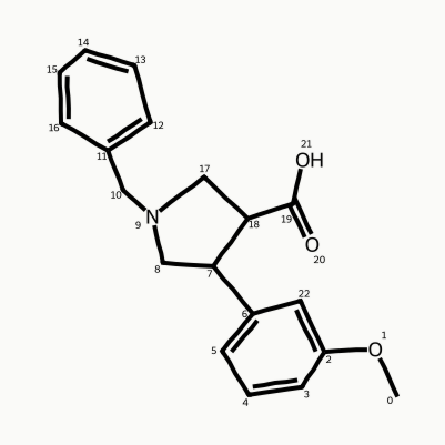 COc1cccc(C2CN(Cc3ccccc3)CC2C(=O)O)c1